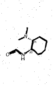 CN(C)[C@@H]1CCCC[C@H]1NC=O